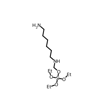 CCO[Si](OCC)(OCC)OCNCCCCCCN